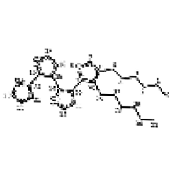 CCCCCCc1csc(-c2ccsc2-c2ccsc2-c2cccs2)c1CCCCCC